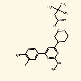 CNc1nc(-c2ccc(N)c(F)c2)cc(N2CCC[C@@H](NC(=O)OC(C)(C)C)C2)n1